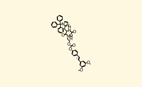 COc1cc(/C=C/c2ccc(OC(=O)OCCNC(=O)C(Cc3nccn3C(c3ccccc3)(c3ccccc3)c3ccccc3)NC(=O)O)cc2)cc(OC)c1